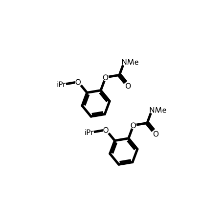 CNC(=O)Oc1ccccc1OC(C)C.CNC(=O)Oc1ccccc1OC(C)C